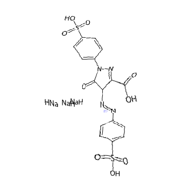 O=C(O)C1=NN(c2ccc(S(=O)(=O)O)cc2)C(=O)C1/N=N/c1ccc(S(=O)(=O)O)cc1.[NaH].[NaH].[NaH]